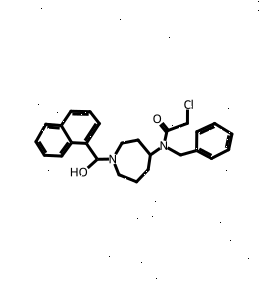 O=C(CCl)N(Cc1ccccc1)C1CCCN(C(O)c2cccc3ccccc23)CC1